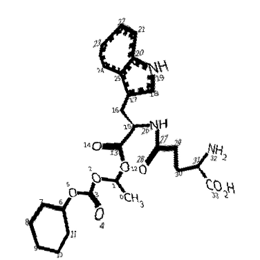 CC(OC(=O)OC1CCCCC1)OC(=O)[C@@H](Cc1c[nH]c2ccccc12)NC(=O)CC[C@@H](N)C(=O)O